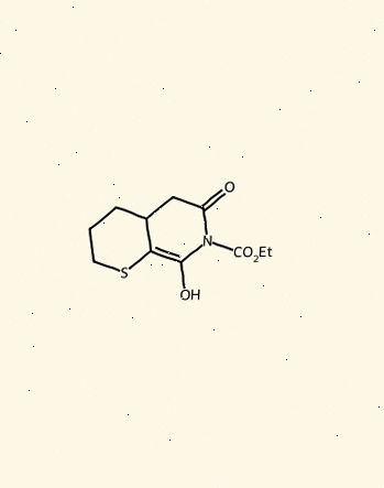 CCOC(=O)N1C(=O)CC2CCCSC2=C1O